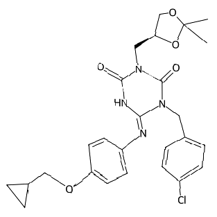 CC1(C)OC[C@H](Cn2c(=O)[nH]/c(=N\c3ccc(OCC4CC4)cc3)n(Cc3ccc(Cl)cc3)c2=O)O1